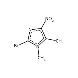 Cc1c([N+](=O)[O-])nc(Br)n1C